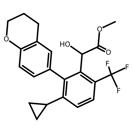 COC(=O)C(O)c1c(C(F)(F)F)ccc(C2CC2)c1-c1ccc2c(c1)CCCO2